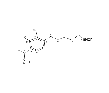 CCCCCCCCCCCCCCc1ccc(C(C)N)c(C)c1C